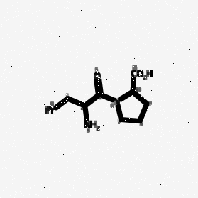 CC(C)CC(N)C(=O)N1CCCC1C(=O)O